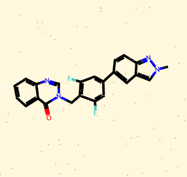 Cn1cc2cc(-c3cc(F)c(Cn4cnc5ccccc5c4=O)c(F)c3)ccc2n1